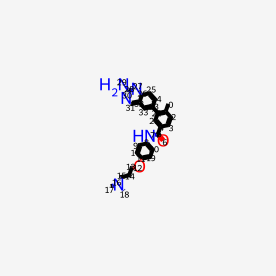 Cc1ccc(C(=O)Nc2ccc(OCCCN(C)C)cc2)cc1-c1ccc2nc(N)ncc2c1